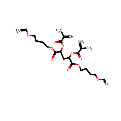 C=COCCCCOC(=O)C(CC(OC(=O)C(=C)C)C(=O)OCCCCOC=C)OC(=O)C(=C)C